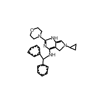 C1=C2NC(N3CCOCC3)=NC(NC(c3ccccc3)c3ccccc3)=C2CN1C1CC1